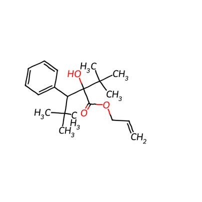 C=CCOC(=O)C(O)(C(c1ccccc1)C(C)(C)C)C(C)(C)C